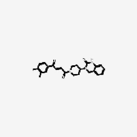 Cc1ccc(C(=O)C=CC(=O)N2CCC(N3Cc4ccccc4NC3=O)CC2)cc1C